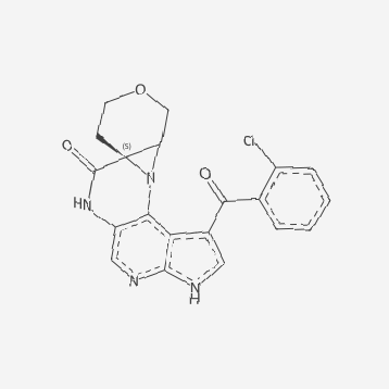 O=C(c1ccccc1Cl)c1c[nH]c2ncc3c(c12)N1C2COCC[C@@]21C(=O)N3